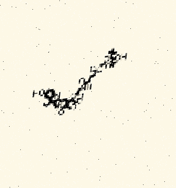 CCc1c2c(nc3ccc(O)cc13)-c1cc3c(c(=O)n1C2)COC(=O)C3OC(=O)CNC(=O)CCCC(=O)OCC(OC(CO)C(C)(C)C)OC(C)(C)C